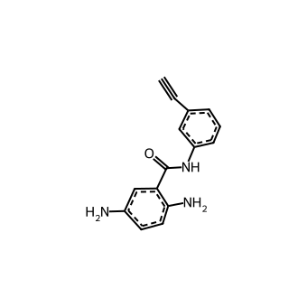 C#Cc1cccc(NC(=O)c2cc(N)ccc2N)c1